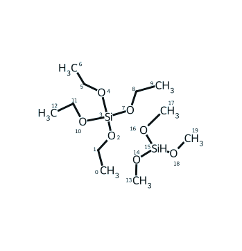 CCO[Si](OCC)(OCC)OCC.CO[SiH](OC)OC